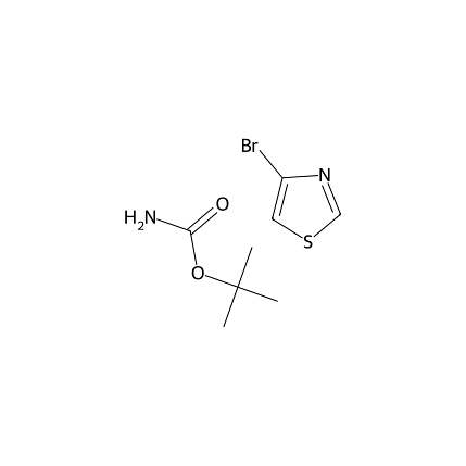 Brc1cscn1.CC(C)(C)OC(N)=O